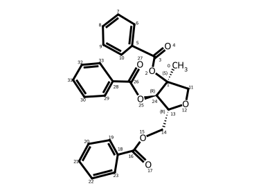 C[C@]1(OC(=O)c2ccccc2)CO[C@H](COC(=O)c2ccccc2)[C@H]1OC(=O)c1ccccc1